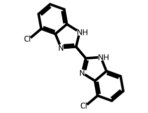 Clc1cccc2[nH]c(-c3nc4c(Cl)cccc4[nH]3)nc12